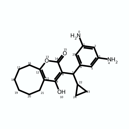 Nc1cc(N)cc(C(c2c(O)c3c(oc2=O)CCCCCC3)C2CC2)c1